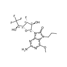 CCCn1c(=O)n([C@@H]2O[C@H]([C@@H](O)C(F)(F)F)[C@H](F)[C@H]2O)c2nc(N)nc(OC)c21